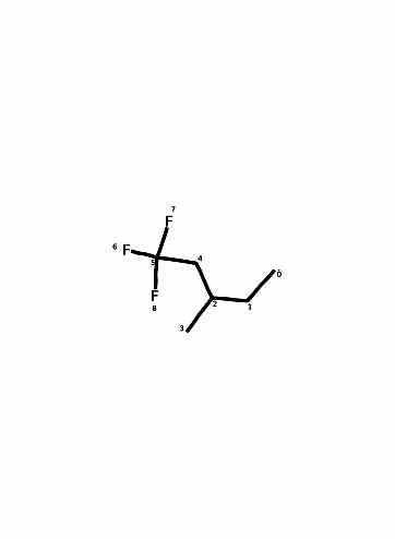 [CH2]CC(C)CC(F)(F)F